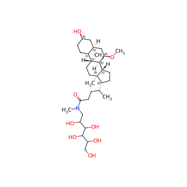 CO[C@@H]1C[C@@H]2C[C@H](O)CC[C@]2(C)[C@H]2CC[C@]3(C)[C@@H](C(C)CCC(=O)N(C)CC(O)C(O)C(O)C(O)CO)CC[C@H]3[C@H]12